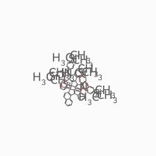 C[Si](C)(C)c1ccc(N(c2ccc([Si](C)(C)C)cc2)c2cc3c(c4ccccc24)-c2c(ccc4ccccc24)C3(c2ccccc2)C2(c3ccccc3)c3ccc4ccccc4c3-c3c2cc(N(c2ccc([Si](C)(C)C)cc2)c2ccc([Si](C)(C)C)cc2)c2ccccc32)cc1